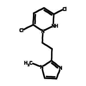 Cn1ccnc1CCN1NC(Cl)=CC=C1Cl